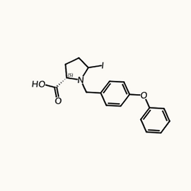 O=C(O)[C@@H]1CCC(I)N1Cc1ccc(Oc2ccccc2)cc1